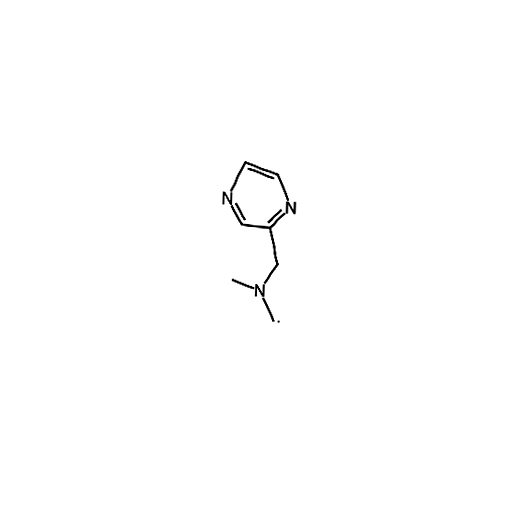 [CH2]N(C)Cc1cnccn1